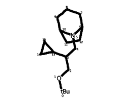 CC(C)(C)OCC(CN1C2CCCC1CC2)C1CC1